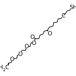 C=CCOCCOCCOCCOC(=O)CCCCC(=O)CCCCCCCCCCS